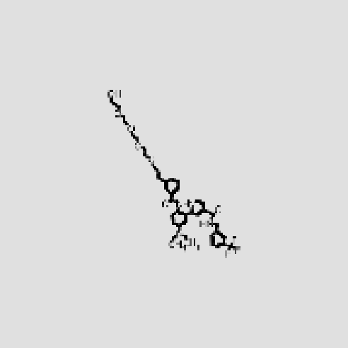 CCN(CC)c1ccc(NC(=O)c2cccc(CCCOCCOCCOCCOCCO)c2)c(-c2cc(C(=O)NCc3cccc(C(F)(F)F)c3)ccn2)c1